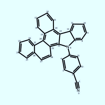 N#Cc1ccc(-n2c3ccccc3c3c4ccccc4c4c5ccccc5ccc4c32)cc1